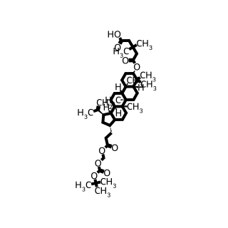 C=C(C)[C@@H]1C[C@@H](CCC(=O)OCOC(=O)OC(C)(C)C)C2CC[C@]3(C)[C@H](CC[C@@H]4[C@@]5(C)CC[C@H](OC(=O)CC(C)(C)CC(=O)O)C(C)(C)[C@@H]5CC[C@]43C)[C@H]21